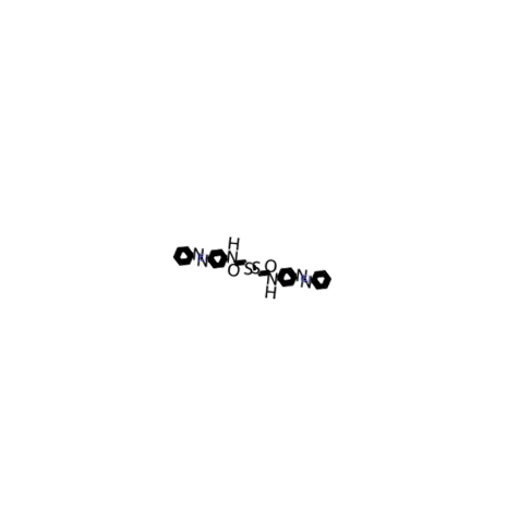 O=C(CSSCC(=O)Nc1ccc(/N=N/c2ccccc2)cc1)Nc1ccc(/N=N/c2ccccc2)cc1